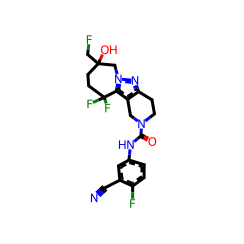 N#Cc1cc(NC(=O)N2CCc3nn4c(c3C2)C(F)(F)CCC(O)(CF)C4)ccc1F